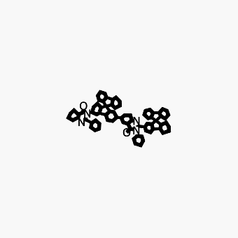 O=c1c2ccccc2nc(-c2ccccc2)n1-c1ccc2c(c1)-c1ccc(-c3ccc4nc(-c5ccc6c(c5)C5(c7ccccc7-c7ccccc75)c5ccccc5-6)n(-c5ccccc5)c(=O)c4c3)cc1C21c2ccccc2-c2ccccc21